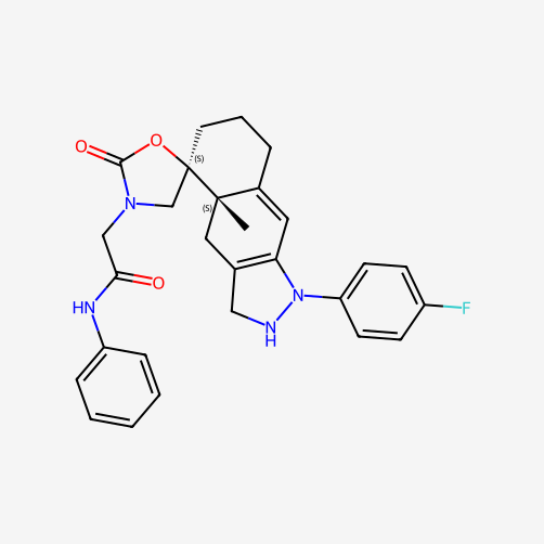 C[C@]12CC3=C(C=C1CCC[C@@]21CN(CC(=O)Nc2ccccc2)C(=O)O1)N(c1ccc(F)cc1)NC3